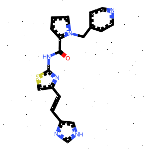 O=C(Nc1nc(C=Cc2c[nH]cn2)cs1)c1cccn1Cc1ccncc1